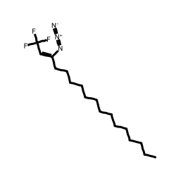 CCCCCCCCCCCCCCC(=CC(F)(F)F)N=[N+]=[N-]